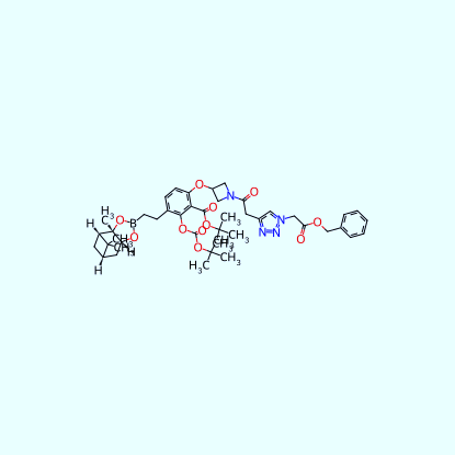 CC(C)(C)OC(=O)Oc1c(CCB2O[C@@H]3C[C@@H]4C[C@@H](C4(C)C)[C@]3(C)O2)ccc(OC2CN(C(=O)Cc3cn(CC(=O)OCc4ccccc4)nn3)C2)c1C(=O)OC(C)(C)C